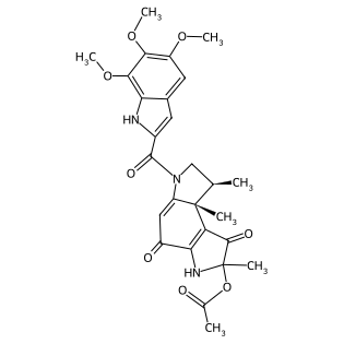 COc1cc2cc(C(=O)N3C[C@@H](C)[C@@]4(C)C3=CC(=O)C3=C4C(=O)C(C)(OC(C)=O)N3)[nH]c2c(OC)c1OC